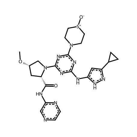 CO[C@H]1C[C@@H](C(=O)Nc2cnccn2)N(c2nc(Nc3cc(C4CC4)n[nH]3)nc(N3CC[S+]([O-])CC3)n2)C1